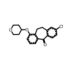 O=C1c2ccc(Cl)cc2CCc2c(OC3CCOCC3)cccc21